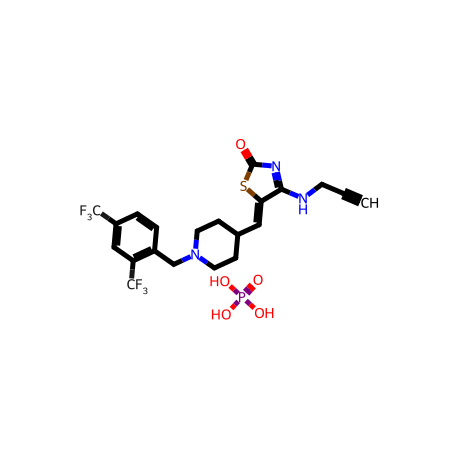 C#CCNC1=NC(=O)S/C1=C\C1CCN(Cc2ccc(C(F)(F)F)cc2C(F)(F)F)CC1.O=P(O)(O)O